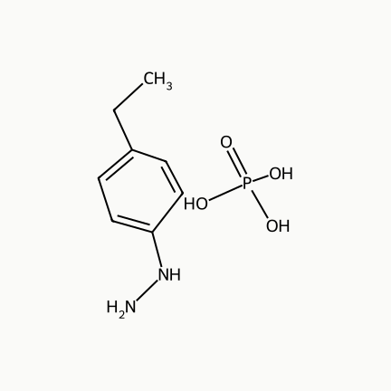 CCc1ccc(NN)cc1.O=P(O)(O)O